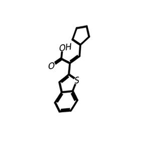 O=C(O)/C(=C\C1CCCC1)c1cc2ccccc2s1